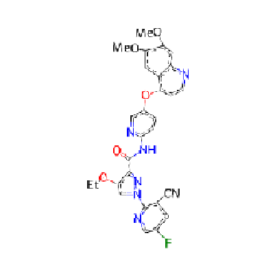 CCOc1cn(-c2ncc(F)cc2C#N)nc1C(=O)Nc1ccc(Oc2ccnc3cc(OC)c(OC)cc23)cn1